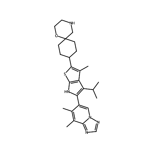 Cc1c(-c2[nH]c3sc(C4CCC5(CC4)CNCCO5)c(C)c3c2C(C)C)cn2ncnc2c1C